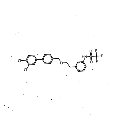 O=S(=O)(Nc1cccc(CCOCc2ccc(-c3ccc(Cl)c(Cl)c3)cc2)c1)C(F)(F)F